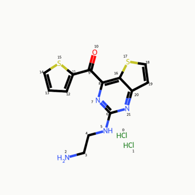 Cl.Cl.NCCNc1nc(C(=O)c2cccs2)c2sccc2n1